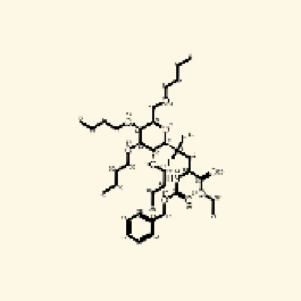 CCCCOC[C@H]1O[C@@H](C(F)(F)C[C@H](NC(=O)OCc2ccccc2)C(=O)OCC)[C@H](OCCCC)[C@@H](OCCCC)[C@H]1OCCCC